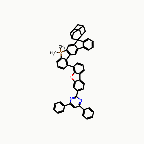 CS1(C)c2cc3c(cc2-c2c(-c4cccc5c4oc4cc(-c6nc(-c7ccccc7)cc(-c7ccccc7)n6)ccc45)cccc21)-c1ccccc1C31C2CC3CC(C2)CC1C3